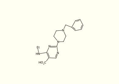 CCNc1nc(N2CCN(Cc3ccccc3)CC2)ncc1C(=O)O